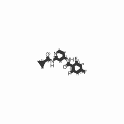 O=C(Nc1ccnc(NC(=O)C2CC2)c1)c1c(F)cc(F)cc1F